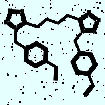 C=Cc1ccc(Cn2nnnc2CCCCc2nnnn2Cc2ccc(C=C)cc2)cc1